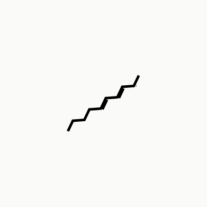 C[CH]C=CC=CCCCC